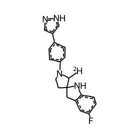 [2H]C1N(c2ccc(-c3cn[nH]c3)cc2)CCC12Cc1cc(F)ccc1N2